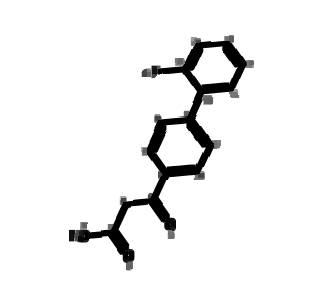 O=C(O)CC(=O)c1ccc(-c2ccccc2F)cc1